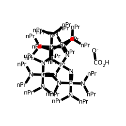 CCCN(CCC)P(=N[P+](N=P(N(CCC)CCC)(N(CCC)CCC)N(CCC)CCC)(N=P(N(CCC)CCC)(N(CCC)CCC)N(CCC)CCC)N=P(N(CCC)CCC)(N(CCC)CCC)N(CCC)CCC)(N(CCC)CCC)N(CCC)CCC.O=C([O-])O